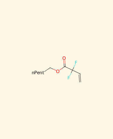 C=CC(F)(F)C(=O)OCCCCCC